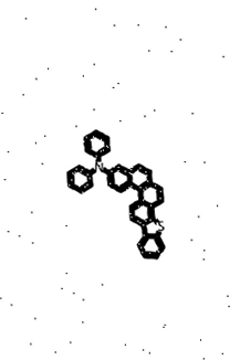 c1ccc(N(c2ccccc2)c2ccc3c(ccc4ccc5c(ccc6c7ccccc7sc65)c43)c2)cc1